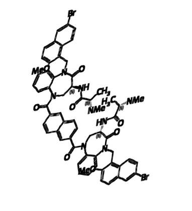 CN[C@@H](C)C(=O)N[C@H]1CN(C(=O)c2ccc3cc(C(=O)N4C[C@H](NC(=O)[C@H](C)NC)C(=O)N(Cc5c(OC)ccc6cc(Br)ccc56)c5ccccc54)ccc3c2)c2ccccc2N(Cc2c(OC)ccc3cc(Br)ccc23)C1=O